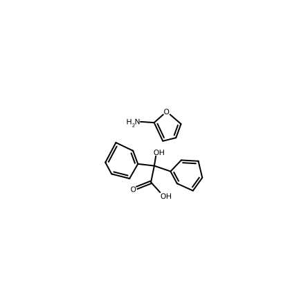 Nc1ccco1.O=C(O)C(O)(c1ccccc1)c1ccccc1